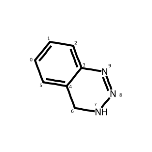 c1ccc2c(c1)CNN=N2